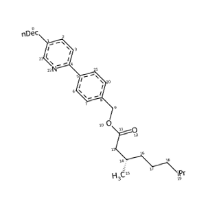 CCCCCCCCCCc1ccc(-c2ccc(COC(=O)C[C@@H](C)CCCC(C)C)cc2)nc1